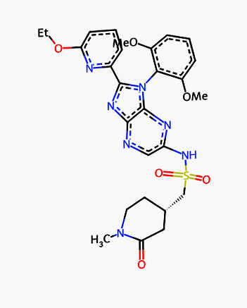 CCOc1cccc(-c2nc3ncc(NS(=O)(=O)C[C@H]4CCN(C)C(=O)C4)nc3n2-c2c(OC)cccc2OC)n1